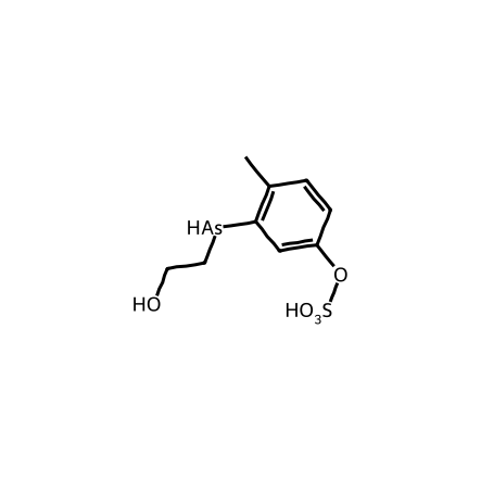 Cc1ccc(OS(=O)(=O)O)cc1[AsH]CCO